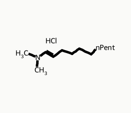 CCCCCCCCCC=CN(C)C.Cl